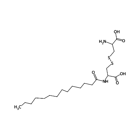 CCCCCCCCCCCCCC(=O)NC(CSSCC(N)C(=O)O)C(=O)O